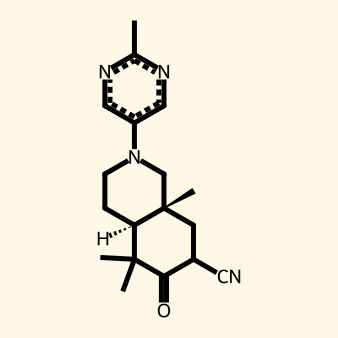 Cc1ncc(N2CC[C@@H]3C(C)(C)C(=O)C(C#N)C[C@@]3(C)C2)cn1